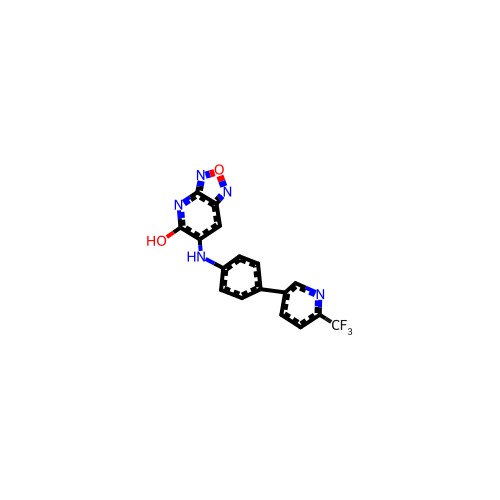 Oc1nc2nonc2cc1Nc1ccc(-c2ccc(C(F)(F)F)nc2)cc1